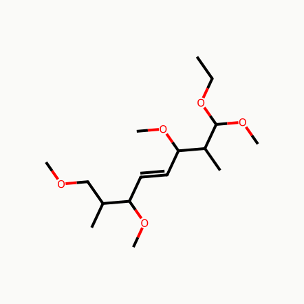 CCOC(OC)C(C)C(C=CC(OC)C(C)COC)OC